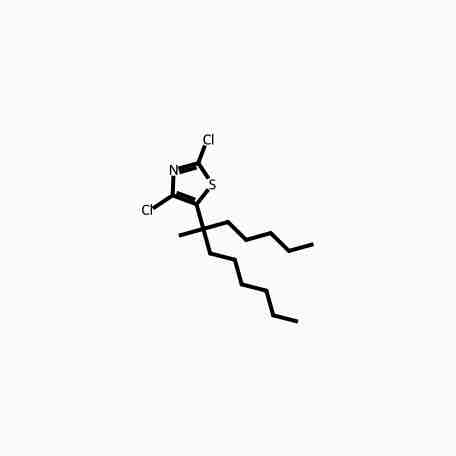 CCCCCCC(C)(CCCCC)c1sc(Cl)nc1Cl